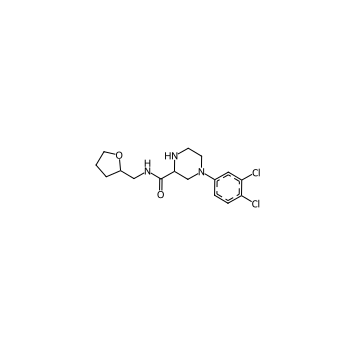 O=C(NCC1CCCO1)C1CN(c2ccc(Cl)c(Cl)c2)CCN1